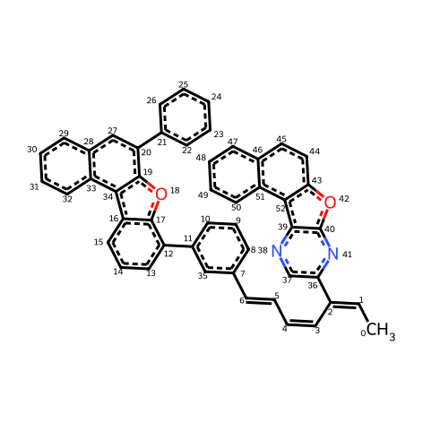 C\C=C(/C=C\C=C\c1cccc(-c2cccc3c2oc2c(-c4ccccc4)cc4ccccc4c23)c1)c1cnc2c(n1)oc1ccc3ccccc3c12